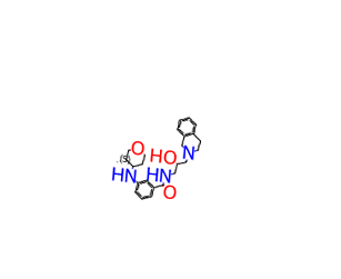 C[C@@H]1COCCC1Nc1cccc(C(=O)NCC(O)CN2CCc3ccccc3C2)c1